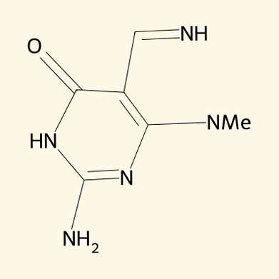 CNc1nc(N)[nH]c(=O)c1C=N